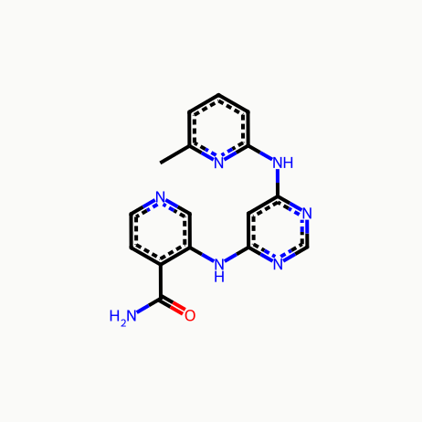 Cc1cccc(Nc2cc(Nc3cnccc3C(N)=O)ncn2)n1